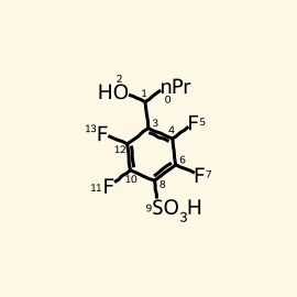 CCCC(O)c1c(F)c(F)c(S(=O)(=O)O)c(F)c1F